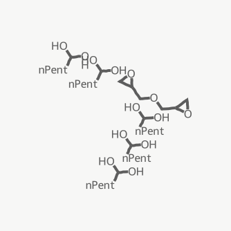 C(OCC1CO1)C1CO1.CCCCCC(O)O.CCCCCC(O)O.CCCCCC(O)O.CCCCCC(O)O.CCCCCC(O)O